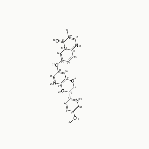 COc1ccc([C@H]2COc3cc(Oc4ccc5ncc(C)c(=O)n5c4)cnc3O2)nc1